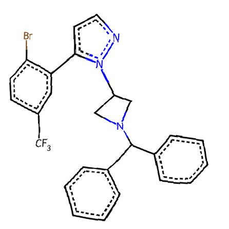 FC(F)(F)c1ccc(Br)c(-c2ccnn2C2CN(C(c3ccccc3)c3ccccc3)C2)c1